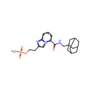 CS(=O)(=O)OCCc1cn2c(C(=O)NCC34CC5CC(CC(C5)C3)C4)cccc2n1